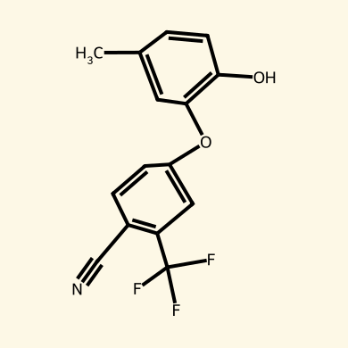 Cc1ccc(O)c(Oc2ccc(C#N)c(C(F)(F)F)c2)c1